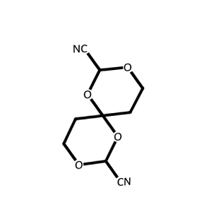 N#CC1OCCC2(CCOC(C#N)O2)O1